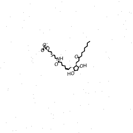 CCCCCCCC(=O)CC[C@@H]1[C@@H](C/C=C\CCCC(=O)NCCSCCO[N+](=O)[O-])[C@@H](O)C[C@H]1O